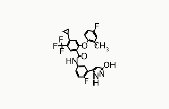 Cc1cc(F)ccc1Oc1cc(C2CC2)c(C(F)(F)F)cc1C(=O)Nc1ccc(F)c(-c2cc(O)n[nH]2)c1